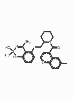 Cc1ccc2nccc(C(=O)N3CCCCC3COc3cccc4c3C(N)=NS(O)(O)N4)c2c1